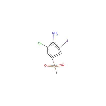 CS(=O)(=O)c1cc(Cl)c(N)c(I)c1